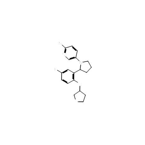 O=[N+]([O-])c1ccc(N2CCCC2c2cc(F)ccc2OC2CCOC2)cn1